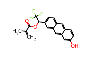 C=C(C)C(=O)OC(c1ccc2cc3ccc(O)cc3cc2c1)C(F)(F)F